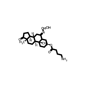 C[C@]12CC[C@H](OC(=O)CCCN)CC1/C(=N/O)C[C@@H]1[C@@H]2CC[C@]2(C)C(=O)CC[C@@H]12.Cl